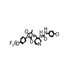 CC1C(=O)N(c2ccc(OC(F)(F)F)cc2)C(=O)N1Cc1ccncc1NC(=O)Nc1ccc(Cl)cc1